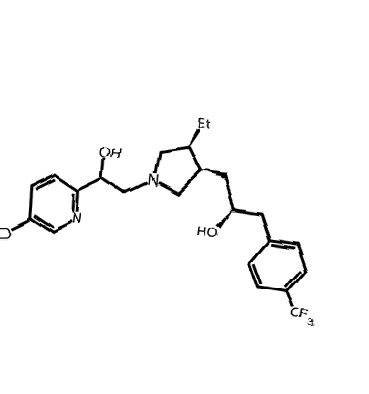 CC[C@@H]1CN(CC(O)c2ccc(O)cn2)C[C@@H]1C[C@H](O)Cc1ccc(C(F)(F)F)cc1